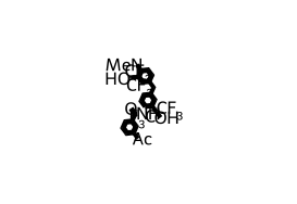 CNc1ccc(Cc2ccc(NC(=O)c3cccc(C(C)=O)c3)c(C(O)(C(F)(F)F)C(F)(F)F)c2)cc1C(O)(C(F)(F)F)C(F)(F)F